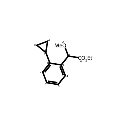 CCOC(=O)C(OC)c1ccccc1C1CC1